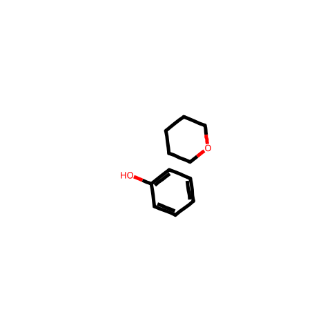 C1CCOCC1.Oc1ccccc1